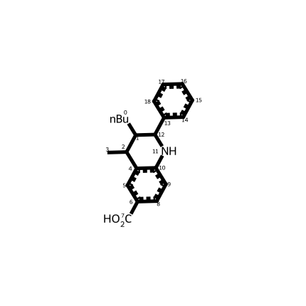 CCCCC1C(C)c2cc(C(=O)O)ccc2NC1c1ccccc1